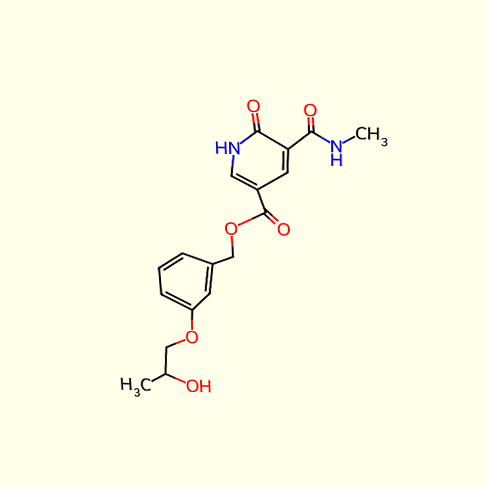 CNC(=O)c1cc(C(=O)OCc2cccc(OCC(C)O)c2)c[nH]c1=O